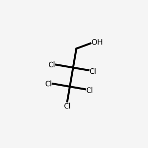 OCC(Cl)(Cl)C(Cl)(Cl)Cl